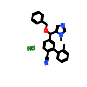 Cc1ccccc1-c1cc(C(OCc2ccccc2)c2cncn2C)ccc1C#N.Cl